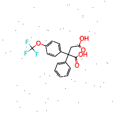 O=C(O)CC(C(=O)O)(c1ccccc1)c1ccc(OC(F)(F)F)cc1